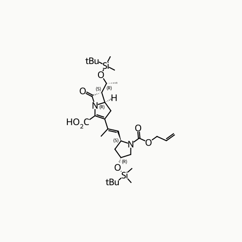 C=CCOC(=O)N1C[C@H](O[Si](C)(C)C(C)(C)C)C[C@H]1C=C(C)C1=C(C(=O)O)N2C(=O)[C@H]([C@@H](C)O[Si](C)(C)C(C)(C)C)[C@H]2C1